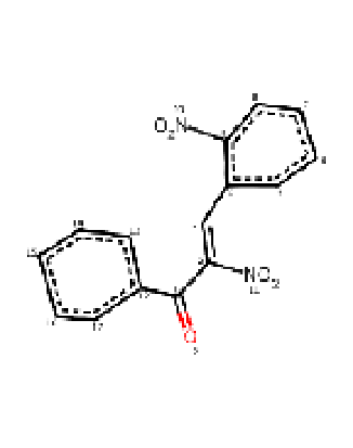 O=C(/C(=C/c1ccccc1[N+](=O)[O-])[N+](=O)[O-])c1ccccc1